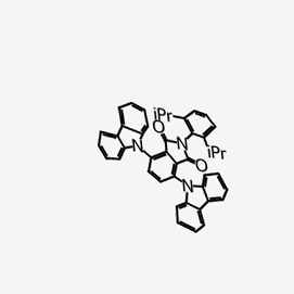 CC(C)c1cccc(C(C)C)c1N1C(=O)c2c(-n3c4ccccc4c4ccccc43)ccc(-n3c4ccccc4c4ccccc43)c2C1=O